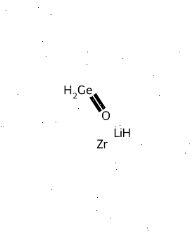 [LiH].[O]=[GeH2].[Zr]